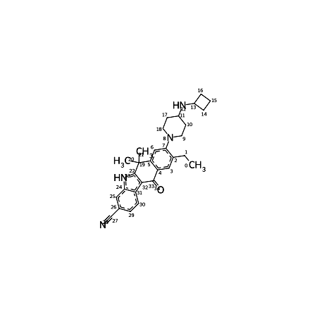 CCc1cc2c(cc1N1CCC(NC3CCC3)CC1)C(C)(C)c1[nH]c3cc(C#N)ccc3c1C2=O